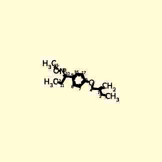 C=C(CC)COc1ccc(/C(CC)=N/OC)cc1